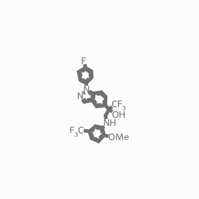 COc1ccc(C(F)(F)F)cc1NCC(O)(c1ccc2c(cnn2-c2ccc(F)cc2)c1)C(F)(F)F